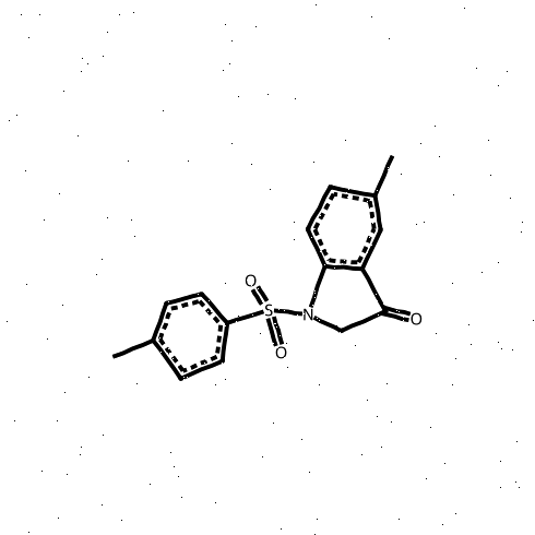 Cc1ccc(S(=O)(=O)N2CC(=O)c3cc(C)ccc32)cc1